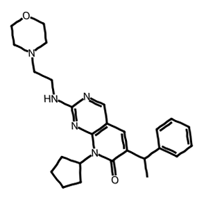 CC(c1ccccc1)c1cc2cnc(NCCN3CCOCC3)nc2n(C2CCCC2)c1=O